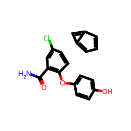 NC(=O)c1cc(Cl)ccc1Oc1ccc(O)cc1.c1cc2cc-2c1